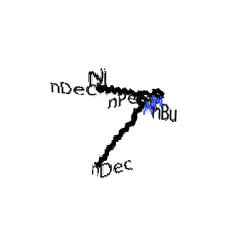 CCCCCCCCCCCCCCCCCCCCCCC#CCCc1ccccc1/N=C(CCCC)\C(CCCCC)=N\c1ccccc1CCC#CCCCCCCCCCCCCCCCCCCCCCC.[Ni]